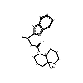 CC(CC(=O)N1CCCC2(C=O)CCCCC12)c1nc2ccccc2s1